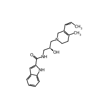 C/C=C\C1=C(C)CCN(C[C@@H](O)CNC(=O)c2cc3ccccc3[nH]2)C1